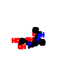 C[C@H](Cc1ccc2c(c1)cc(C(=O)N[C@H](C)c1ccccc1)n2Cc1ccccc1)NC[C@H](O)c1ccc(O)c(CO)c1